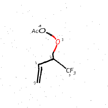 C=CC(OOC(C)=O)C(F)(F)F